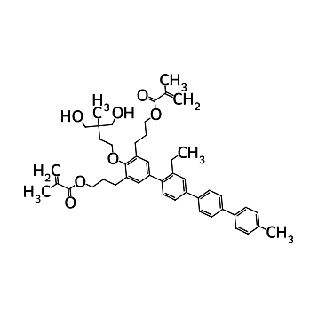 C=C(C)C(=O)OCCCc1cc(-c2ccc(-c3ccc(-c4ccc(C)cc4)cc3)cc2CC)cc(CCCOC(=O)C(=C)C)c1OCCC(C)(CO)CO